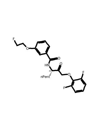 CCCCC[C@H](NC(=O)c1cccc(OCCF)c1)C(=O)COc1c(F)cccc1F